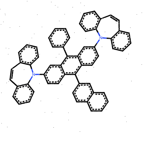 C1=Cc2ccccc2N(c2ccc3c(-c4ccc5ccccc5c4)c4ccc(N5c6ccccc6C=Cc6ccccc65)cc4c(-c4ccccc4)c3c2)c2ccccc21